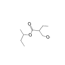 CCC(C)OC(=O)C(CC)C[O]